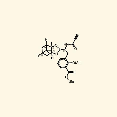 C#CC(=O)N[C@@H](Cc1cccc(C(=O)OC(C)(C)C)c1OC)B1O[C@@H]2C[C@@H]3C[C@@H](C3(C)C)[C@]2(C)O1